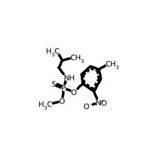 COP(=S)(NCC(C)C)Oc1ccc(C)cc1[N+](=O)[O-]